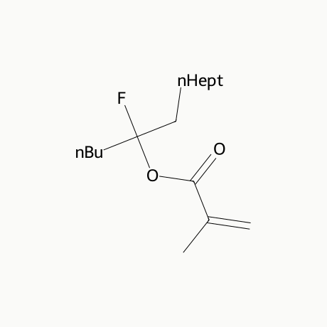 C=C(C)C(=O)OC(F)(CCCC)CCCCCCCC